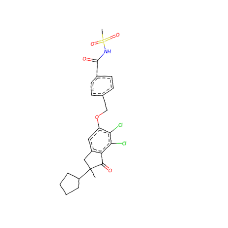 CC1(C2CCCC2)Cc2cc(OCc3ccc(C(=O)NS(C)(=O)=O)cc3)c(Cl)c(Cl)c2C1=O